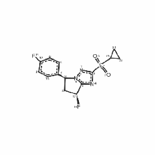 O=S(=O)(c1nc2n(n1)[C@H](c1ccc(F)cc1)C[C@@H]2F)C1CC1